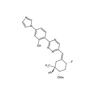 CCC[C@@]1(C)C/C(=C\c2cnc(-c3ccc(-n4ccnc4)cc3O)nn2)[C@H](F)C[C@@H]1OC